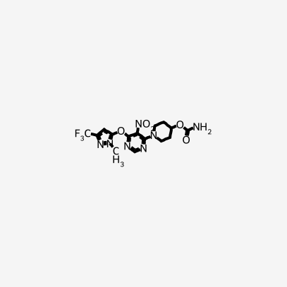 Cn1nc(C(F)(F)F)cc1Oc1ncnc(N2CCC(OC(N)=O)CC2)c1[N+](=O)[O-]